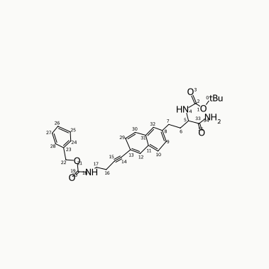 CC(C)(C)OC(=O)NC(CCc1ccc2cc(C#CCCNC(=O)OCc3ccccc3)ccc2c1)C(N)=O